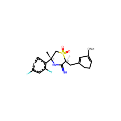 COC1=CCCC(C[C@@]2(C)C(=N)N[C@](C)(c3ccc(F)cc3F)CS2(=O)=O)=C1